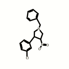 O=[N+]([O-])C1CN(Cc2ccccc2)CC1c1cccc(Cl)c1